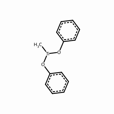 [CH3][Ti]([O]c1ccccc1)[O]c1ccccc1